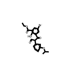 CCOC(=O)c1cc(Br)cc(C(=O)C(C=O)c2cccc(OC(C)C)c2)c1O